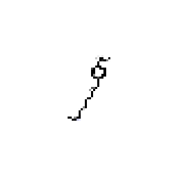 C/C=C\CCCCOCc1ccc(OC)cc1